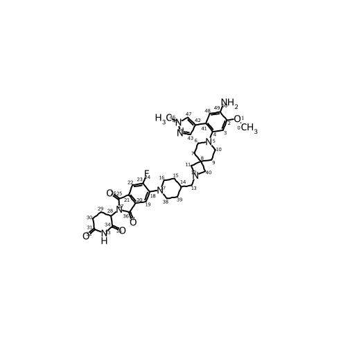 COc1cc(N2CCC3(CC2)CN(CC2CCN(c4cc5c(cc4F)C(=O)N(C4CCC(=O)NC4=O)C5=O)CC2)C3)c(-c2cnn(C)c2)cc1N